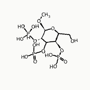 CO[C@H]1OC(CO)[C@@H](OP(=O)(O)O)C(OP(=O)(O)O)[C@@H]1O[PH](O)(O)O